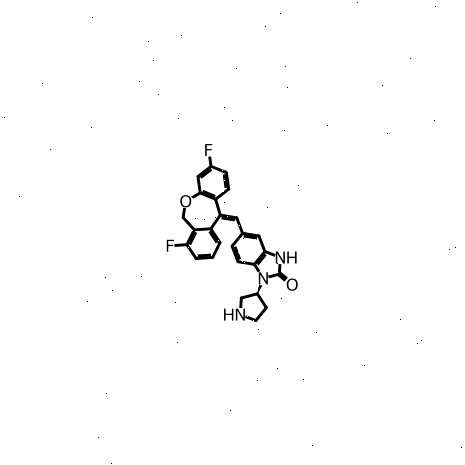 O=c1[nH]c2cc(/C=C3/c4ccc(F)cc4OCc4c(F)cccc43)ccc2n1[C@H]1CCNC1